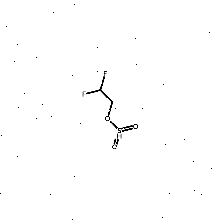 O=[SH](=O)OCC(F)F